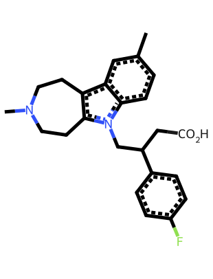 Cc1ccc2c(c1)c1c(n2CC(CC(=O)O)c2ccc(F)cc2)CCN(C)CC1